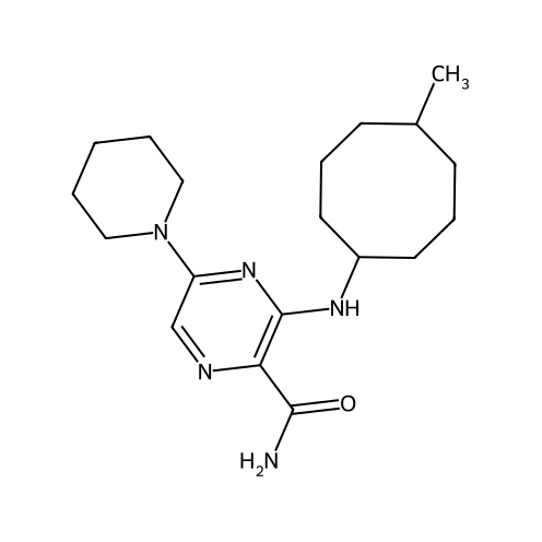 CC1CCCC(Nc2nc(N3CCCCC3)cnc2C(N)=O)CCC1